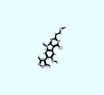 COCCc1nc(Cl)c2c3cc(OC)c(-c4c(C)noc4C)cc3n(C)c2n1